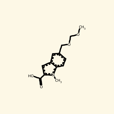 COCOCc1ccc2c(c1)cc(C(=O)O)n2C